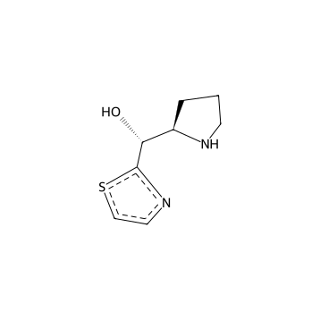 O[C@@H](c1nccs1)[C@H]1CCCN1